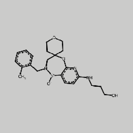 Cc1ccccc1CN1CC2(CCOCC2)Oc2nc(NCCCO)ccc2[S+]1[O-]